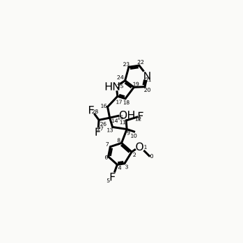 COc1cc(F)ccc1C(C)(CF)CC(O)(Cc1cc2cnccc2[nH]1)C(F)F